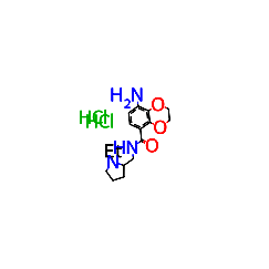 CCN1CCCC1CNC(=O)c1ccc(N)c2c1OCCO2.Cl.Cl